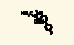 Cc1nc2c(c(=O)n1CC(=O)O)NC(c1ccc(F)cc1)CC2